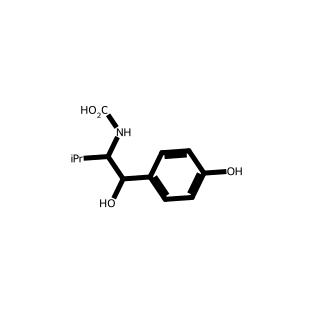 CC(C)C(NC(=O)O)C(O)c1ccc(O)cc1